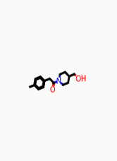 Cc1ccc(CC(=O)N2CCC(CO)CC2)cc1